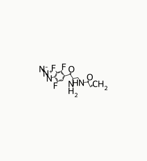 C=CC(=O)NCC(N)C(=O)c1cc(F)c(N=[N+]=[N-])c(F)c1F